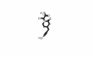 CC#CCC1CCN(C(CC)C(N)=O)C(=O)C1